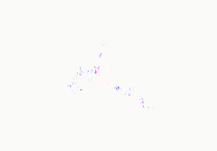 O=C(O)CC[C@H](NC(=O)N[C@@H](CCCCNC(=O)Nc1cccc(-c2cn(CCOCCOCCOCCC(=O)N[C@@H](CCCCNC(=S)Nc3ccc(CC4CN(CC(=O)O)CCN(CC(=O)O)CCN(CC(=O)O)CCN4CC(=O)O)cc3)C(=O)N[C@@H](CCCCNC(=O)CCCc3ccc(I)cc3)C(=O)O)nn2)c1)C(=O)O)C(=O)O